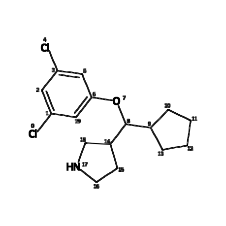 Clc1cc(Cl)cc(OC(C2CCCC2)C2CCNC2)c1